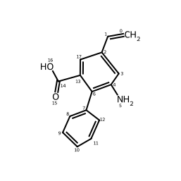 C=Cc1cc(N)c(-c2ccccc2)c(C(=O)O)c1